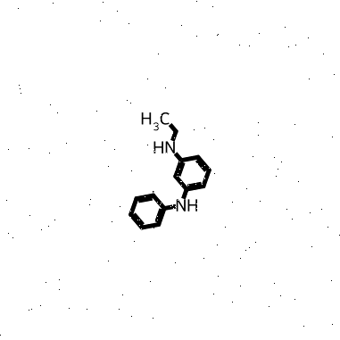 CCNc1cccc(Nc2[c]cccc2)c1